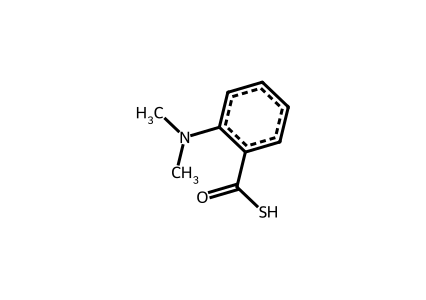 CN(C)c1ccccc1C(=O)S